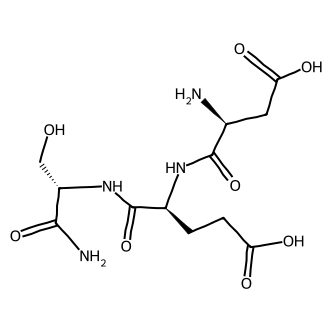 NC(=O)[C@H](CO)NC(=O)[C@H](CCC(=O)O)NC(=O)[C@@H](N)CC(=O)O